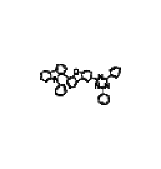 c1ccc(-c2nc(-c3ccccc3)nc(-c3ccc4oc5c(-c6cccc7c8ccccc8n(-c8ccccc8)c67)cccc5c4c3)n2)cc1